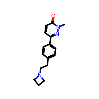 Cn1nc(-c2ccc(CCN3CCC3)cc2)ccc1=O